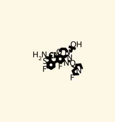 CC(C)(O)CN1CCOc2c(Cl)c(-c3ccc(F)c4sc(N)c(C#N)c34)c(F)c3nc(OC[C@@]45CCCN4C[C@H](F)C5)nc1c23